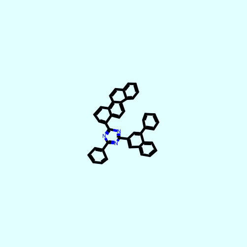 c1ccc(-c2nc(-c3cc(-c4ccccc4)c4ccccc4c3)nc(-c3cccc4c3ccc3c5ccccc5ccc43)n2)cc1